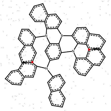 c1ccc2cc(N(c3cc4c5c(c3)N(c3cccc6ccccc36)c3c(ccc6ccccc36)B5c3ccc5ccccc5c3N4c3cccc4ccccc34)c3ccc4ccccc4c3)ccc2c1